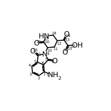 Nc1cccc2c1C(=O)N(C1CC(C(=O)C(=O)O)CNC1=O)C2=O